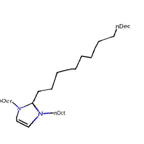 CCCCCCCCCCCCCCCCCCC1N(CCCCCCCC)C=CN1CCCCCCCC